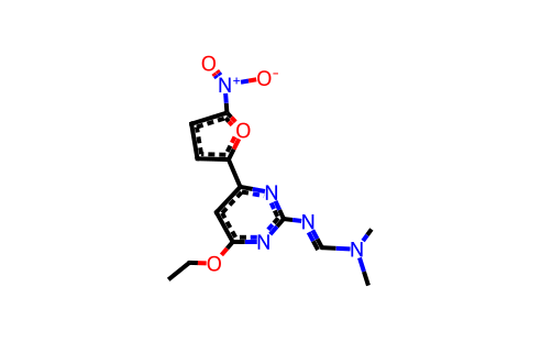 CCOc1cc(-c2ccc([N+](=O)[O-])o2)nc(N=CN(C)C)n1